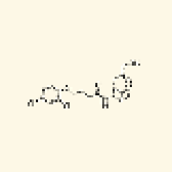 O=C(CCCOc1ccc(Cl)cc1Cl)NC1C2CC3CC1CC(CO)(C3)C2